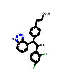 CCC(=C(c1ccc(C=CC(=O)O)cc1)c1cccc2[nH]nnc12)c1ccc(F)cc1Cl